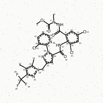 COC(=O)N(C)NC(=O)c1cc(Cl)cc(Cl)c1NC(=O)c1cc(Cn2nc(C(F)(F)F)c(C)c2C)nn1-c1ncccc1Cl